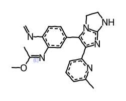 C=Nc1ccc(-c2c(-c3cccc(C)n3)nc3n2CCN3)cc1/N=C(\C)OC